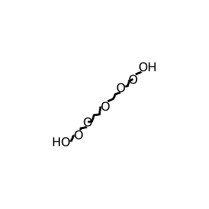 OCCOCCOCCCCOCCCCOCCOCCO